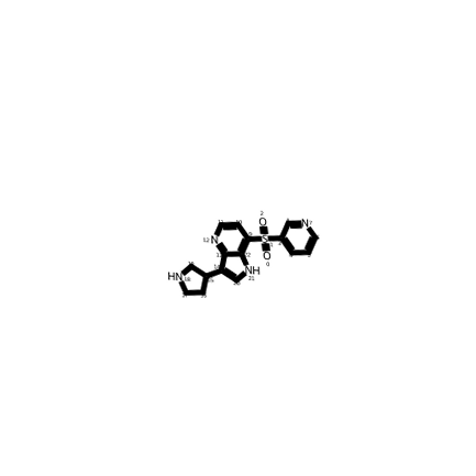 O=S(=O)(c1cccnc1)c1ccnc2c(C3CCNC3)c[nH]c12